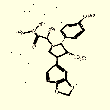 CCC[C@H](C(=O)N(CCC)CCC)N1C[C@H](c2ccc3c(c2)OCO3)[C@H](C(=O)OCC)[C@H]1c1ccc(OC)cc1